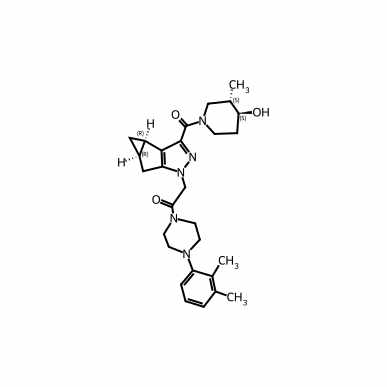 Cc1cccc(N2CCN(C(=O)Cn3nc(C(=O)N4CC[C@H](O)[C@@H](C)C4)c4c3C[C@H]3C[C@@H]43)CC2)c1C